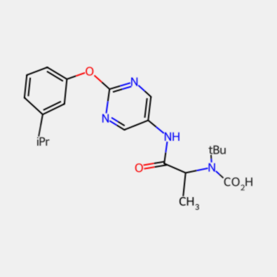 CC(C)c1cccc(Oc2ncc(NC(=O)C(C)N(C(=O)O)C(C)(C)C)cn2)c1